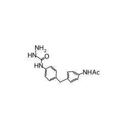 CC(=O)Nc1ccc(Cc2ccc(NC(=O)NN)cc2)cc1